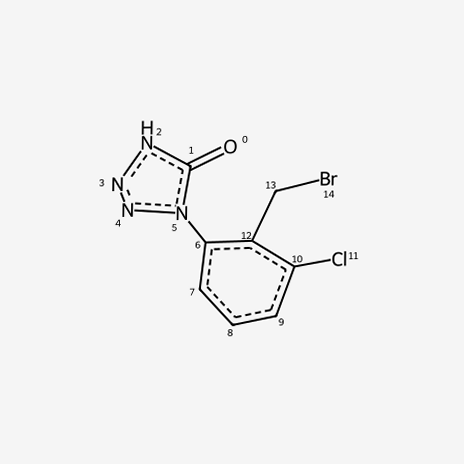 O=c1[nH]nnn1-c1cccc(Cl)c1CBr